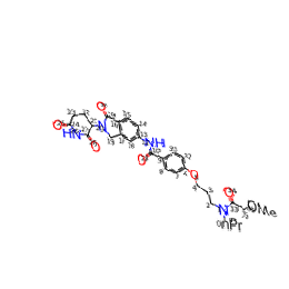 CCCN(CCCOc1ccc(C(=O)Nc2ccc3c(c2)CN(C2CCC(=O)NC2=O)C3=O)cc1)C(=O)COC